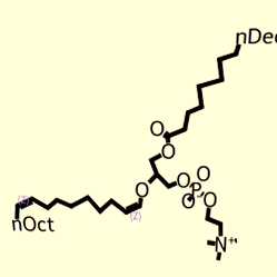 CCCCCCCC/C=C\CCCCCC/C=C\OC(COC(=O)CCCCCCCCCCCCCCCCC)COP(=O)([O-])OCC[N+](C)(C)C